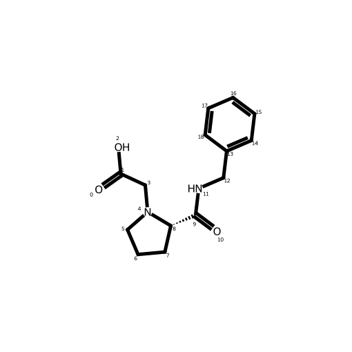 O=C(O)CN1CCC[C@H]1C(=O)NCc1ccccc1